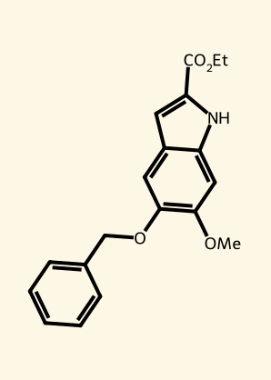 CCOC(=O)c1cc2cc(OCc3ccccc3)c(OC)cc2[nH]1